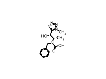 C[C@@H]([C@H](O)c1nnnn1C)N(Cc1ccccc1)C(=O)O